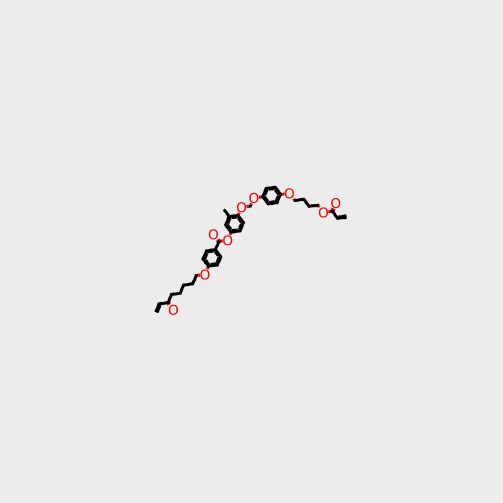 C=CC(=O)CCCCCOc1ccc(C(=O)Oc2ccc(OCOc3ccc(OCCCCOC(=O)C=C)cc3)c(C)c2)cc1